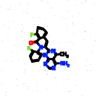 CC(=N)c1c(N)ncnc1NCc1cc2cccc(F)c2c(=O)n1-c1ccccc1F